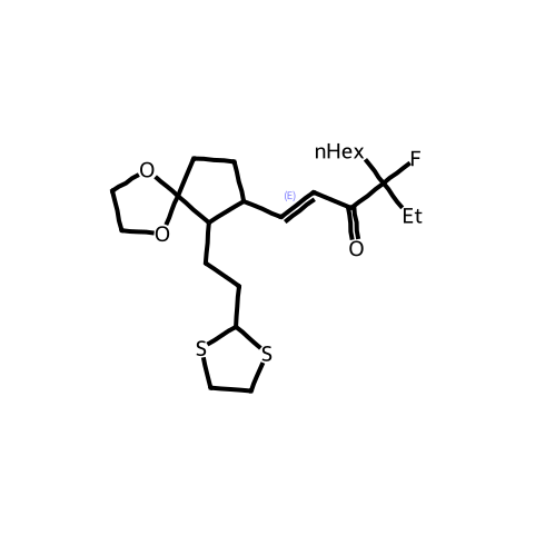 CCCCCCC(F)(CC)C(=O)/C=C/C1CCC2(OCCO2)C1CCC1SCCS1